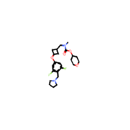 CN(CC1CC(Oc2cc(F)c(CN3CCCC3)c(F)c2)C1)C(=O)OC1CCOCC1